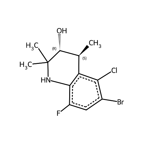 C[C@H]1c2c(Cl)c(Br)cc(F)c2NC(C)(C)[C@@H]1O